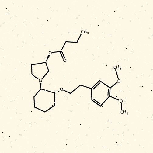 CCCC(=O)O[C@@H]1CCN([C@@H]2CCCC[C@H]2OCCc2ccc(OC)c(OC)c2)C1